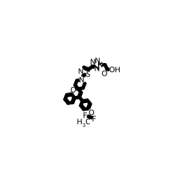 CC(F)(F)Oc1ccc(C2=CC3(CCN(c4ncc(-c5nnn(CC(=O)O)n5)s4)CC3)Oc3ccccc32)cc1